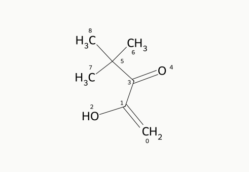 C=C(O)C(=O)C(C)(C)C